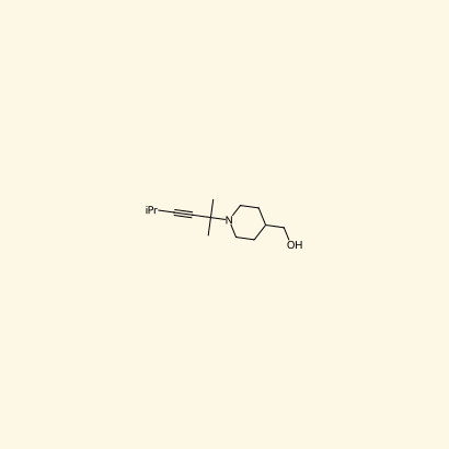 CC(C)C#CC(C)(C)N1CCC(CO)CC1